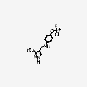 CC(C)(C)c1n[nH]cc1CNc1ccc(OC(F)(F)Cl)cc1